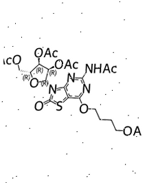 CC(=O)Nc1nc(OCCCCOC(C)=O)c2sc(=O)n([C@@H]3O[C@H](COC(C)=O)[C@@H](OC(C)=O)[C@H]3OC(C)=O)c2n1